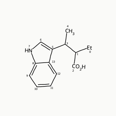 CCC(C(=O)O)C(C)c1c[nH]c2ccccc12